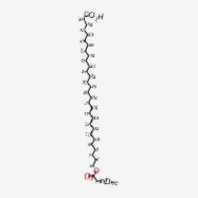 CCCCCCCCCCCC(=O)OCCCCCCCCCCCCCCCCCCCCCCCCCCCCCC(=O)O